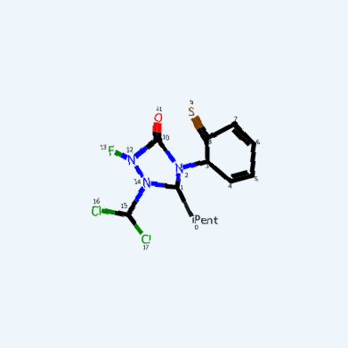 CCCC(C)C1N(C2C=CC=CC2=S)C(=O)N(F)N1C(Cl)Cl